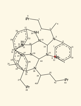 CC(C)CCC(C)N1c2ccc(cc2)NN2C1N1Nc3ccc(cc3)N(C(C)CCC(C)C)N3C1Nc1ccc(cc1)N(C(C)CCC(C)C)C23